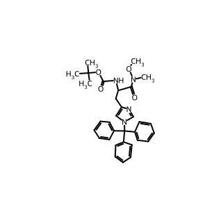 CON(C)C(=O)C(Cc1cn(C(c2ccccc2)(c2ccccc2)c2ccccc2)cn1)NC(=O)OC(C)(C)C